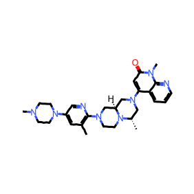 Cc1cc(N2CCN(C)CC2)cnc1N1CCN2[C@@H](C1)CN(c1cc(=O)n(C)c3ncccc13)C[C@@H]2C